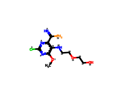 COc1nc(Cl)nc(C(=N)P)c1NCCOCCO